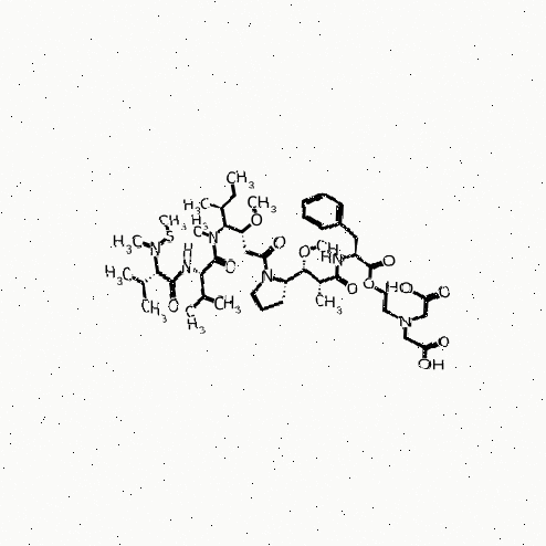 CC[C@H](C)[C@@H]([C@@H](CC(=O)N1CCC[C@H]1[C@H](OC)[C@@H](C)C(=O)N[C@@H](Cc1ccccc1)C(=O)OCCN(CC(=O)O)CC(=O)O)OC)N(C)C(=O)[C@@H](NC(=O)[C@H](C(C)C)N(C)SC)C(C)C